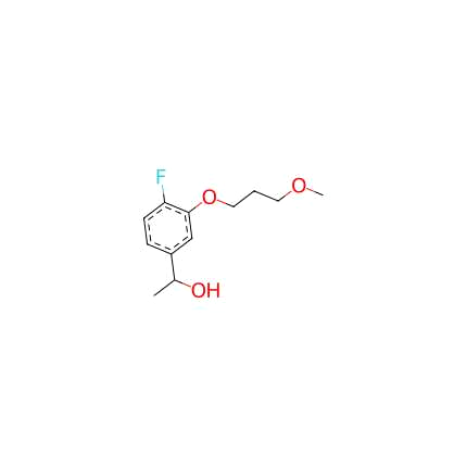 COCCCOc1cc(C(C)O)ccc1F